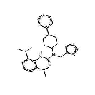 CC(C)c1cccc(C(C)C)c1NC(=O)N(Cc1cccs1)C1CCC(c2ccccc2)CC1